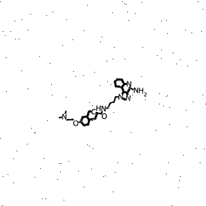 CN(C)CCOc1ccc2cc(C(=O)NCCCCn3cnc4c(N)nc5ccccc5c43)ccc2c1